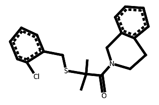 CC(C)(SCc1ccccc1Cl)C(=O)N1CCc2ccccc2C1